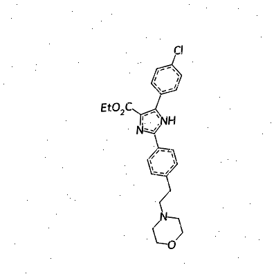 CCOC(=O)c1nc(-c2ccc(CCN3CCOCC3)cc2)[nH]c1-c1ccc(Cl)cc1